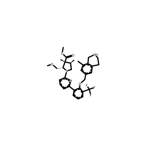 COC[C@H]1N(c2cccc(-c3cccc(C(F)(F)F)c3OCc3cc(C)c4c(c3)CCNC4)n2)C[C@H](C)[C@@]1(C)C(=O)OC